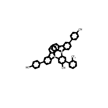 N#Cc1ccc(-c2ccc3c(c2)c2ccccc2n3-c2cc(C#N)c(-c3ccccc3C(F)(F)F)cc2-n2c3ccccc3c3cc(-c4ccc(C#N)cc4)ccc32)cc1